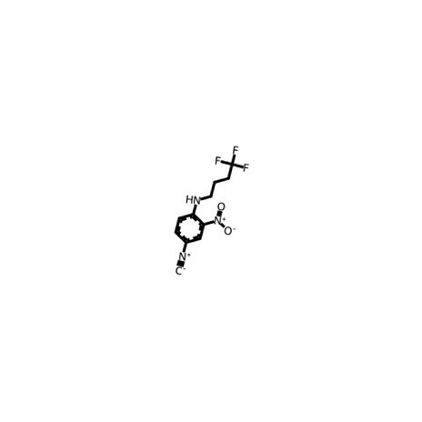 [C-]#[N+]c1ccc(NCCCC(F)(F)F)c([N+](=O)[O-])c1